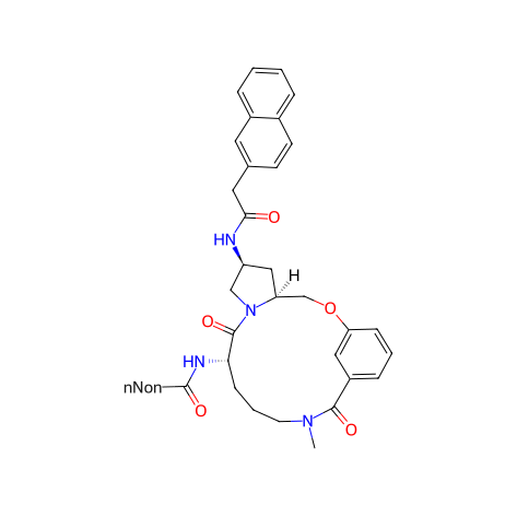 CCCCCCCCCC(=O)N[C@H]1CCCN(C)C(=O)c2cccc(c2)OC[C@@H]2C[C@H](NC(=O)Cc3ccc4ccccc4c3)CN2C1=O